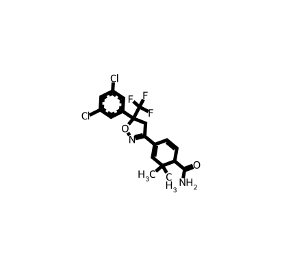 CC1(C)C=C(C2=NOC(c3cc(Cl)cc(Cl)c3)(C(F)(F)F)C2)C=CC1C(N)=O